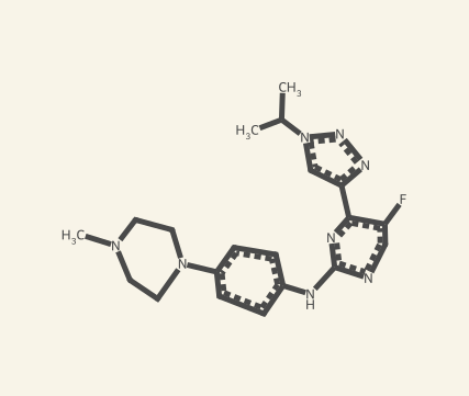 CC(C)n1cc(-c2nc(Nc3ccc(N4CCN(C)CC4)cc3)ncc2F)nn1